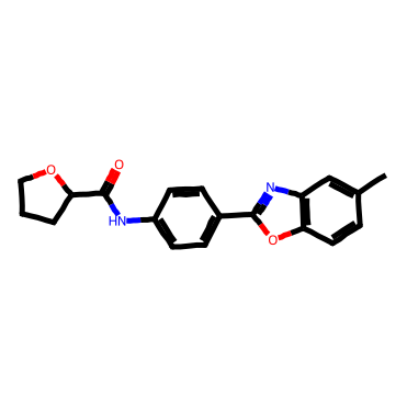 Cc1ccc2oc(-c3ccc(NC(=O)C4CCCO4)cc3)nc2c1